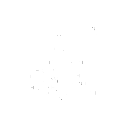 CCN[C@@H]1c2onc(OCc3ccccc3)c2C(=O)[C@@]2(O[Si](C)(C)C(C)(C)C)C(O)=C3C(=O)c4c(OCc5ccccc5)cc(C5CCCN5C)c(F)c4C[C@H]3C[C@@H]12